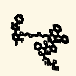 C[C@@H](CNC(=O)O)C(=O)N[C@H](C(=O)N1CCC[C@H]1C(=O)N[C@H](C(=O)NCCOCCOCCOc1c(-c2csc(N3CCOCC3)n2)ccc(F)c1F)C(c1ccccc1)c1ccccc1)C1CCCCC1